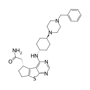 NC(=O)C[C@H]1CCc2sc3ncnc(N[C@H]4CC[C@H](N5CCN(Cc6ccccc6)CC5)CC4)c3c21